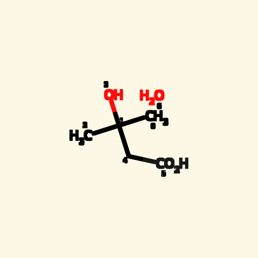 CC(C)(O)CC(=O)O.O